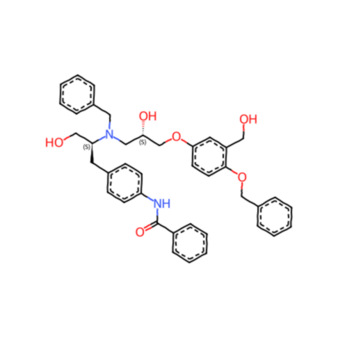 O=C(Nc1ccc(C[C@@H](CO)N(Cc2ccccc2)C[C@H](O)COc2ccc(OCc3ccccc3)c(CO)c2)cc1)c1ccccc1